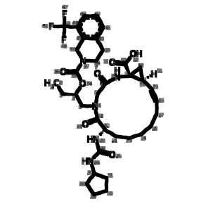 CC[C@H](CN1CC(=O)N[C@]2(C(=O)O)C[C@H]2/C=C\CCCCC[C@H](NC(=O)NC2CCCC2)C1=O)OC(=O)N1CCc2cccc(C(F)(F)F)c2C1